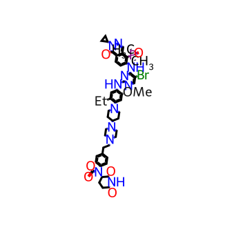 CCc1cc(Nc2ncc(Br)c(Nc3ccc4c(=O)n(C5CC5)ncc4c3P(C)(C)=O)n2)c(OC)cc1N1CCC(N2CCN(CCc3ccc4c(c3)oc(=O)n4C3CCC(=O)NC3=O)CC2)CC1